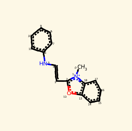 C[n+]1c(/C=C/Nc2ccccc2)oc2ccccc21